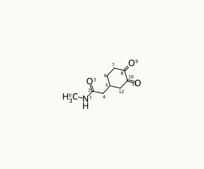 CNC(=O)CC1CCC(=O)C(=O)C1